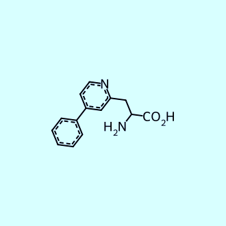 NC(Cc1cc(-c2ccccc2)ccn1)C(=O)O